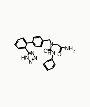 NC(=O)CN(Cc1ccc(-c2ccccc2-c2nnn[nH]2)cc1)C(=O)Nc1ccccc1